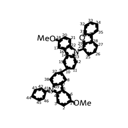 COc1ccc2c(c1)c1cc(-c3ccc4c(c3)c3cc(OC)ccc3n4-c3cccc4c3oc3ccccc34)ccc1n2-c1ccccc1